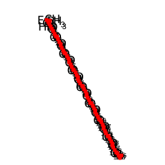 CCC(C)(C)C(=O)OCCNC(=O)OCCCCCC(=O)OCCCCCC(=O)OCCCCCC(=O)OCCCCCC(=O)OCCCCCC(=O)OCCCCCC(=O)OCCCCCC(=O)OCCCCCC(=O)OCCCCCC(=O)OCCCCCC(=O)OCCCCCC(=O)OCCCCCC(=O)OCCCCCC(=O)OCCCCCC(=O)OCCCCCC(=O)OCC1CCCCC1